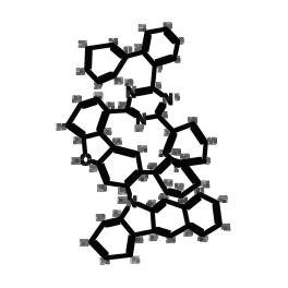 c1ccc(-c2nc(-c3ccccc3-c3ccccc3)nc(-c3cccc4oc5cc(-n6c7ccccc7c7cc8ccccc8cc76)c(-c6ccccc6)cc5c34)n2)cc1